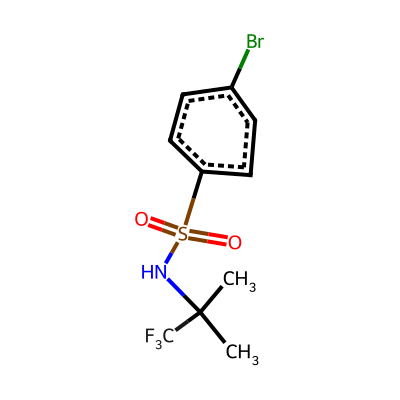 CC(C)(NS(=O)(=O)c1ccc(Br)cc1)C(F)(F)F